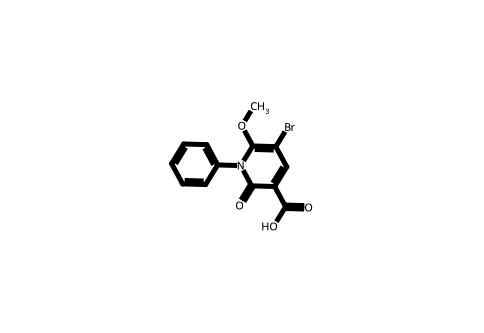 COc1c(Br)cc(C(=O)O)c(=O)n1-c1ccccc1